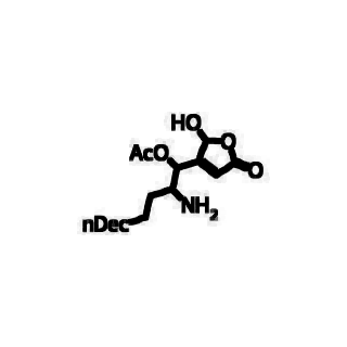 CCCCCCCCCCCCC(N)C(OC(C)=O)C1=CC(=O)OC1O